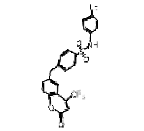 CCc1ccc(NS(=O)(=O)c2ccc(Cc3ccc4oc(=O)cc(C(F)(F)F)c4c3)cc2)cc1